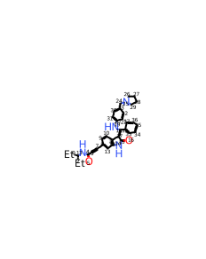 CCC(CC)NC(=O)C#Cc1ccc2c(c1)NC(=O)C2=C(Nc1ccc(CN2CCCC2)cc1)c1ccccc1